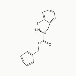 N[C@@H](Cc1ccccc1I)C(=O)OCc1ccccc1